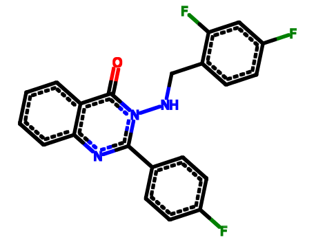 O=c1c2ccccc2nc(-c2ccc(F)cc2)n1NCc1ccc(F)cc1F